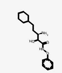 N[C@H](CCC1CCCCC1)C(O)C(=O)NOc1ccccc1